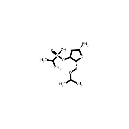 B[C@H]1CC(OP(O)(=S)C(C)C)[C@@H](COC(C)C)O1